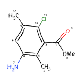 COC(=O)c1c(C)c(N)cc(C)c1Cl